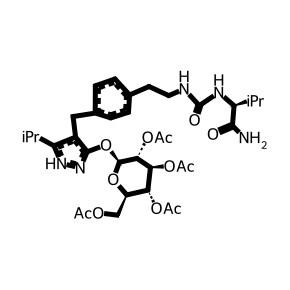 CC(=O)OC[C@H]1O[C@@H](Oc2n[nH]c(C(C)C)c2Cc2ccc(CCNC(=O)N[C@H](C(N)=O)C(C)C)cc2)[C@H](OC(C)=O)[C@@H](OC(C)=O)[C@@H]1OC(C)=O